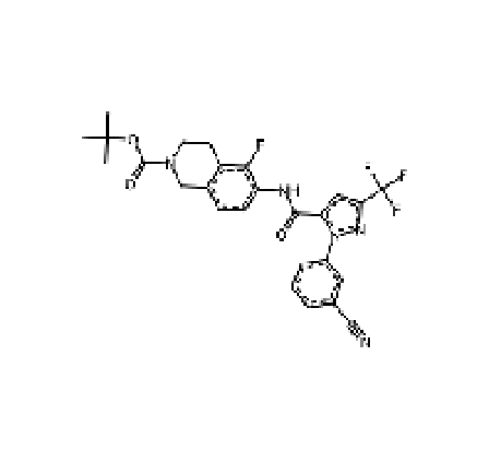 CC(C)(C)OC(=O)N1CCc2c(ccc(NC(=O)c3cc(C(F)(F)F)nn3-c3cccc(C#N)c3)c2F)C1